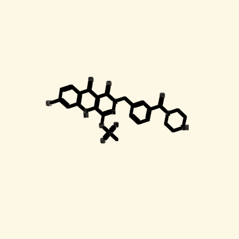 CS(=O)(=O)Oc1nn(Cc2cccc(C(=O)N3CCNCC3)c2)c(=O)c2c(=O)c3ccc(Cl)cc3[nH]c12